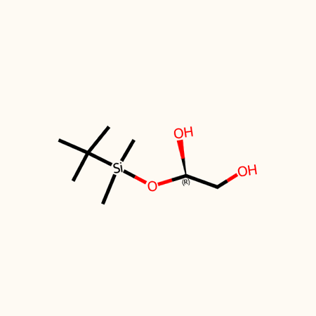 CC(C)(C)[Si](C)(C)O[C@@H](O)CO